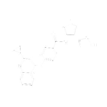 O=C(N[C@@H]1COC[C@@H]1C(=O)NO)c1ccc(Cc2cc(C3CC3)nc3ccccc23)cc1